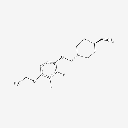 C=C[C@H]1CC[C@H](COc2ccc(OCC)c(F)c2F)CC1